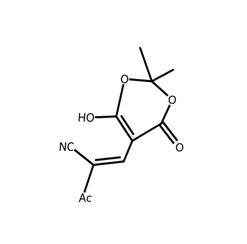 CC(=O)C(C#N)=CC1=C(O)OC(C)(C)OC1=O